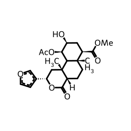 COC(=O)[C@@H]1C[C@H](O)[C@H](OC(C)=O)C2[C@@]3(C)C[C@@H](c4ccoc4)OC(=O)[C@H]3CC[C@]21C